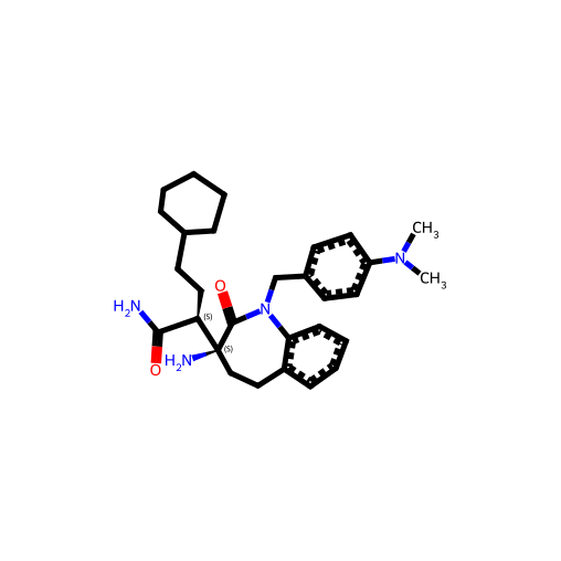 CN(C)c1ccc(CN2C(=O)[C@@](N)([C@H](CCC3CCCCC3)C(N)=O)CCc3ccccc32)cc1